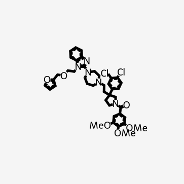 COc1cc(C(=O)N2CCC(CCN3CCCN(c4nc5ccccc5n4CCOCc4ccco4)CC3)(c3ccc(Cl)c(Cl)c3)C2)cc(OC)c1OC